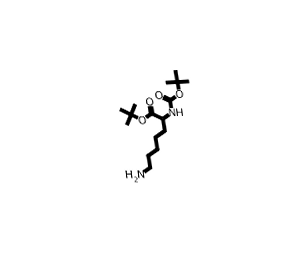 CC(C)(C)OC(=O)NC(CCCCCN)C(=O)OC(C)(C)C